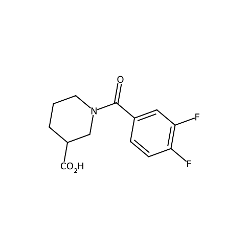 O=C(O)C1CCCN(C(=O)c2ccc(F)c(F)c2)C1